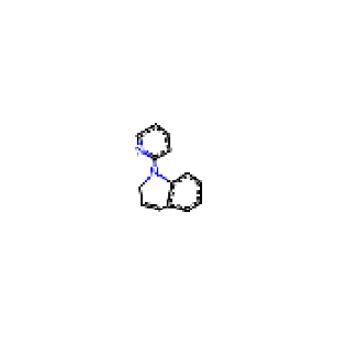 C1=Cc2ccccc2N(c2ccccn2)C1